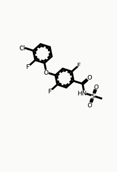 CS(=O)(=O)NC(=O)c1cc(F)c(Oc2cccc(Cl)c2F)cc1F